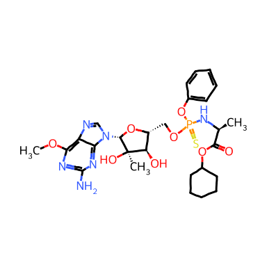 COc1nc(N)nc2c1ncn2[C@@H]1O[C@H](COP(=S)(N[C@@H](C)C(=O)OC2CCCCC2)Oc2ccccc2)[C@@H](O)[C@@]1(C)O